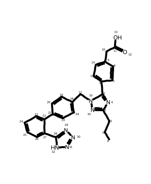 CCCc1nc(-c2ccc(CC(=O)O)cc2)n(Cc2ccc(-c3ccccc3-c3nnn[nH]3)cc2)n1